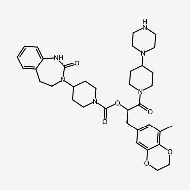 Cc1cc(C[C@@H](OC(=O)N2CCC(N3CCc4ccccc4NC3=O)CC2)C(=O)N2CCC(N3CCNCC3)CC2)cc2c1OCCO2